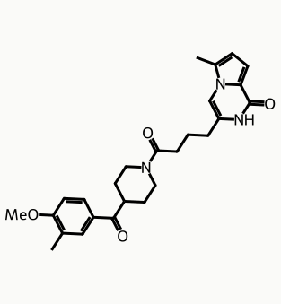 COc1ccc(C(=O)C2CCN(C(=O)CCCc3cn4c(C)ccc4c(=O)[nH]3)CC2)cc1C